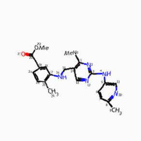 CNc1nc(Nc2ccc(C)nc2)ncc1CNc1cc(C(=O)OC)ccc1C